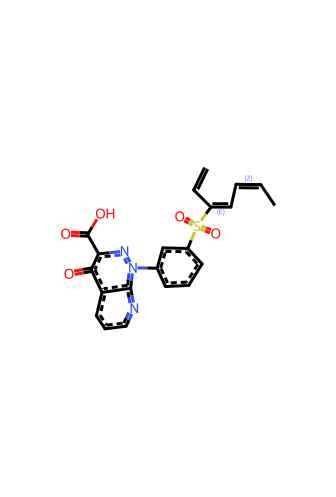 C=C/C(=C\C=C/C)S(=O)(=O)c1cccc(-n2nc(C(=O)O)c(=O)c3cccnc32)c1